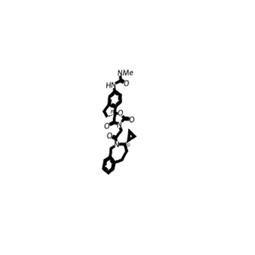 CNC(=O)Nc1ccc2c(c1)CC[C@@]21OC(=O)N(CC(=O)N2Cc3ccccc3CC[C@H]2C2CC2)C1=O